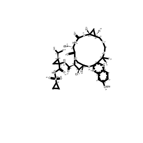 CC[C@@H]1[C@@H]2CN(C(=O)[C@H](C(C)(C)C)NC(=O)O[C@@H]3C[C@H]3CCCCC(F)(F)c3nc4ccc(OC)cc4nc3O2)[C@@H]1C(=O)NC1(C(=O)NS(=O)(=O)C2CC2)C[C@H]1C(F)F